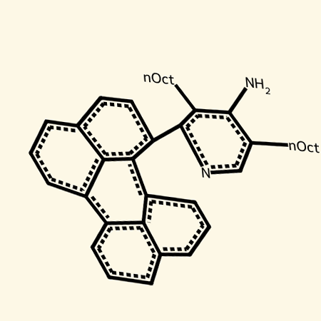 CCCCCCCCc1cnc(-c2ccc3cccc4c5cccc6cccc(c2c34)c65)c(CCCCCCCC)c1N